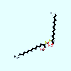 CCCCCCCCCCCCC(CO)SOSC(CO)CCCCCCCCCCCC